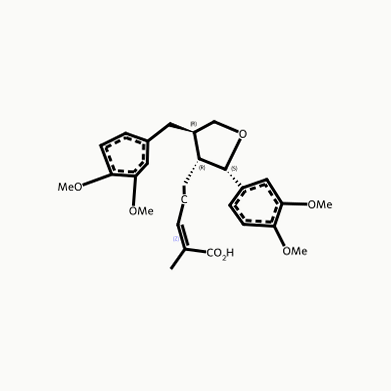 COc1ccc(C[C@H]2CO[C@H](c3ccc(OC)c(OC)c3)[C@@H]2CC/C=C(/C)C(=O)O)cc1OC